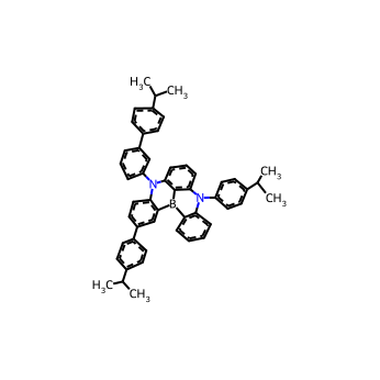 CC(C)c1ccc(-c2cccc(N3c4ccc(-c5ccc(C(C)C)cc5)cc4B4c5ccccc5N(c5ccc(C(C)C)cc5)c5cccc3c54)c2)cc1